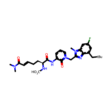 CN(C)C(=O)/C=C/CC[C@H](NC(=O)O)C(=O)Nc1cccn(Cc2nc3c(CC(C)(C)C)cc(F)cc3n2C)c1=O